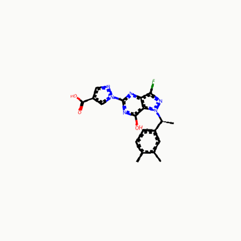 Cc1ccc([C@H](C)n2nc(F)c3nc(-n4cc(C(=O)O)cn4)nc(O)c32)cc1C